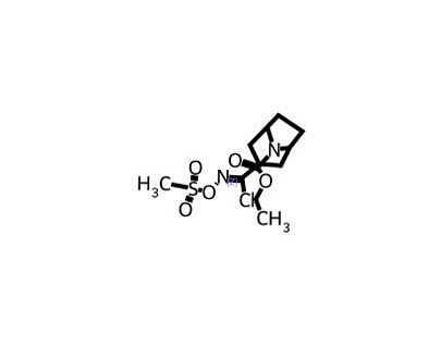 CCOC(=O)N1C2CCC1CC(/C(Cl)=N/OS(C)(=O)=O)C2